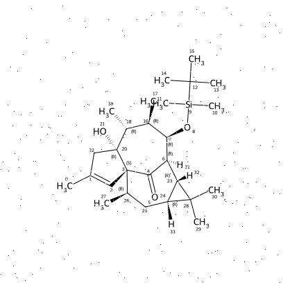 CC1=C[C@]23C(=O)[C@@H]([C@H](O[Si](C)(C)C(C)(C)C)[C@H](C)[C@@H](C)[C@]2(O)C1)[C@H]1[C@@H](C[C@H]3C)C1(C)C